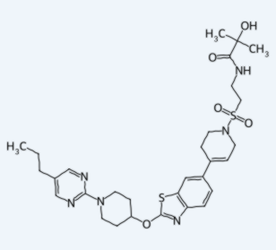 CCCc1cnc(N2CCC(Oc3nc4ccc(C5=CCN(S(=O)(=O)CCNC(=O)C(C)(C)O)CC5)cc4s3)CC2)nc1